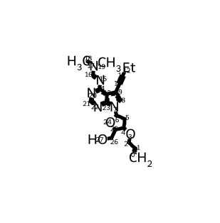 C=CCOC1CC(n2cc(C#CCC)c3c(/N=C/N(C)C)ncnc32)OC1CO